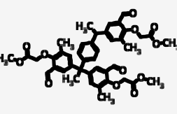 COC(=O)COc1c(C)cc(C(C)c2ccc(C(C)(c3cc(C)c(OCC(=O)OC)c(C=O)c3)c3cc(C)c(OCC(=O)OC)c(C=O)c3)cc2)cc1C=O